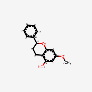 COc1cc(O)c2c(c1)OC(c1ccccc1)CC2